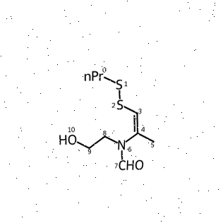 CCCSSC=C(C)N(C=O)CCO